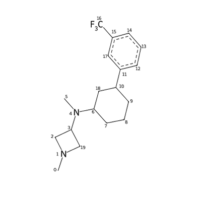 CN1CC(N(C)C2CCCC(c3cccc(C(F)(F)F)c3)C2)C1